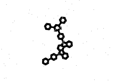 c1ccc(-c2ccc(-n3c4ccccc4c4c5c6ccccc6n(-c6ccc(-c7nc(-c8ccccc8)cc(-c8ccccc8)n7)cc6)c5ccc43)cc2)cc1